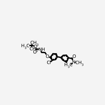 CN(C)C(=O)c1ccc(-c2ccc(OCCNC(=O)OC(C)(C)C)c(Cl)c2)cc1